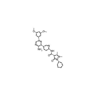 COc1cc(OC)cc(-c2cnc(N)c(-c3ccc(NC(=O)c4c(C)n(C)n(-c5ccccc5)c4=O)nc3)n2)c1